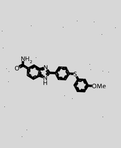 COc1cccc(Sc2ccc(-c3nc4cc(C(N)=O)ccc4[nH]3)cc2)c1